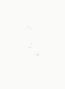 NC(=O)CCCCCNC(=O)COC1C#CCCCCC1